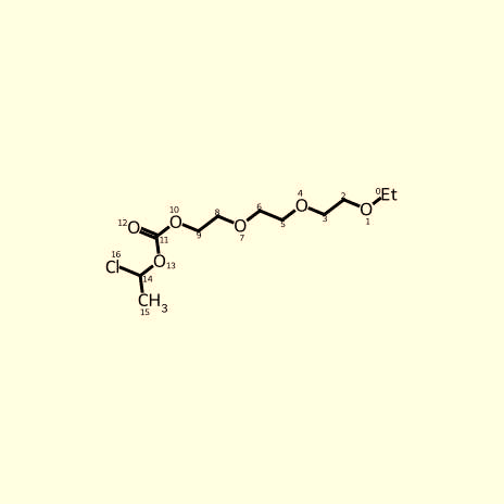 [CH2]COCCOCCOCCOC(=O)OC(C)Cl